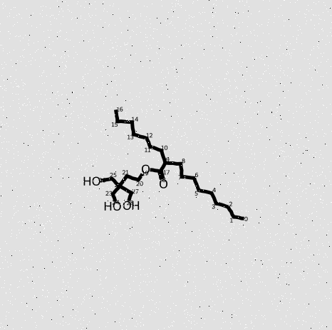 CCCCCCCCCC(CCCCCCC)C(=O)OCCC(CO)(CO)CO